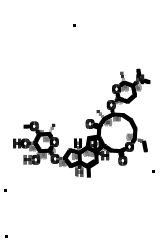 CC[C@H]1CCC[C@H](O[C@H]2CC[C@H](N(C)C)[C@@H](C)O2)[C@@H](C)C(=O)C2=C[C@@H]3[C@@H](C=C(C)[C@@H]4C[C@H](O[C@@H]5O[C@@H](C)[C@H](OC)[C@@H](O)[C@H]5O)C[C@@H]34)[C@@H]2CC(=O)O1